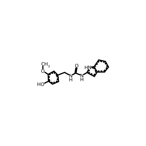 COc1cc(CNC(=O)Nc2cc3ccccc3[nH]2)ccc1O